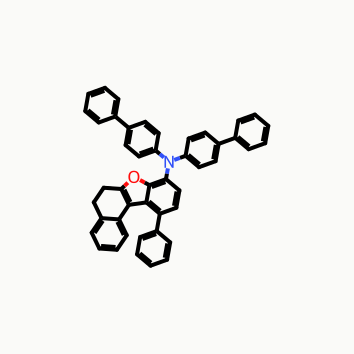 c1ccc(-c2ccc(N(c3ccc(-c4ccccc4)cc3)c3ccc(-c4ccccc4)c4c5c(oc34)CCc3ccccc3-5)cc2)cc1